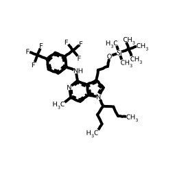 CCCC(CCC)n1cc(CCO[Si](C)(C)C(C)(C)C)c2c(Nc3ccc(C(F)(F)F)cc3C(F)(F)F)nc(C)cc21